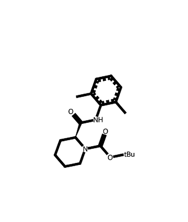 Cc1cccc(C)c1NC(=O)[C@@H]1CCCCN1C(=O)OC(C)(C)C